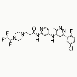 Cc1nnc(-c2cc(Cl)ccc2F)cc1Nc1ccnc(NC(=O)CCN2CCN(C(F)C(F)F)CC2)c1